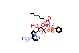 CCCCCCOC(=O)[C@H](C)N[P@](=O)(OC[C@@]1(CF)O[C@@H](c2ccc3c(N)ccnn23)[C@H](O)[C@@H]1O)Oc1ccccc1